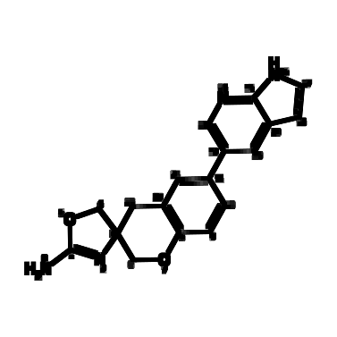 NC1=NC2(CO1)COc1ccc(-c3cnc4[nH]ccc4c3)cc1C2